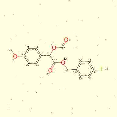 COc1ccc(C(O[C]=O)C(=O)OCc2ccc(F)cc2)cc1